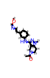 CO/C=N\C=C\c1cccc(Nc2nn(C)c3c2CN(C(C)=O)CC3)c1